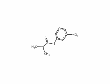 CN(C)C(=S)Oc1cccc([N+](=O)[O-])c1